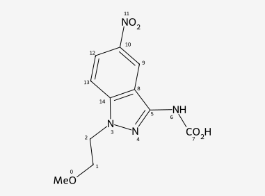 COCCn1nc(NC(=O)O)c2cc([N+](=O)[O-])ccc21